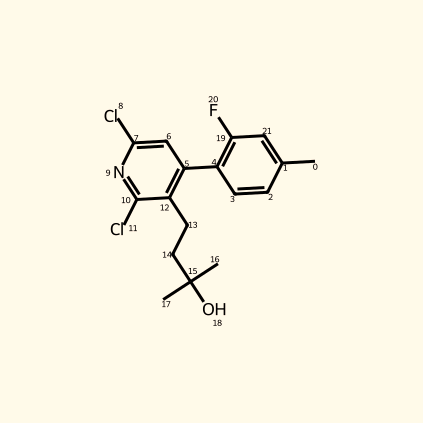 Cc1ccc(-c2cc(Cl)nc(Cl)c2CCC(C)(C)O)c(F)c1